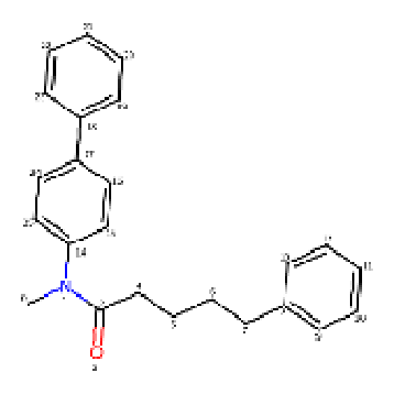 CN(C(=O)CCCCc1ccccc1)c1ccc(-c2ccccc2)cc1